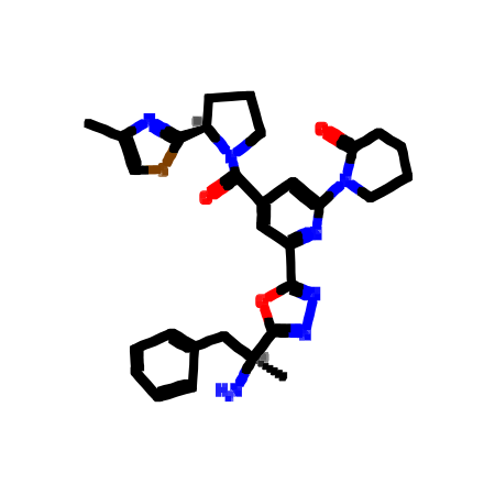 Cc1csc([C@H]2CCCN2C(=O)c2cc(-c3nnc([C@@](C)(N)Cc4ccccc4)o3)nc(N3CCCCC3=O)c2)n1